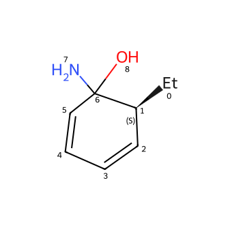 CC[C@H]1C=CC=CC1(N)O